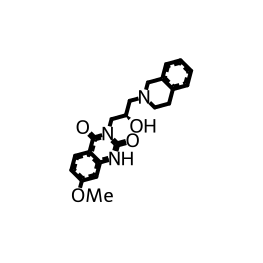 COc1ccc2c(=O)n(C[C@H](O)CN3CCc4ccccc4C3)c(=O)[nH]c2c1